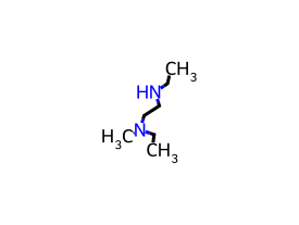 CCNCCN(C)CC